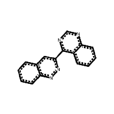 [c]1nc(-c2cc3ccccc3nn2)c2ccccc2n1